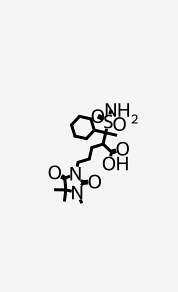 CN1C(=O)N(CCCC(C(=O)O)C(C)(C2CCCCC2)S(N)(=O)=O)C(=O)C1(C)C